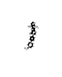 CC1OCCC1(O)c1cc2ncn(-c3ccc(N4CCCN(C)CC4)cc3)c(=O)c2s1